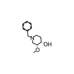 CO[C@@H]1CN(Cc2ccccc2)CC[C@@H]1O